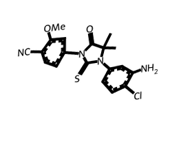 COc1cc(N2C(=O)C(C)(C)N(c3ccc(Cl)c(N)c3)C2=S)ccc1C#N